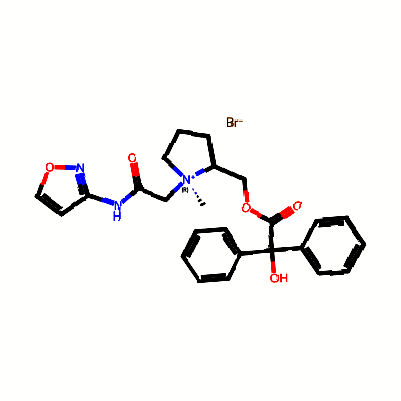 C[N@+]1(CC(=O)Nc2ccon2)CCCC1COC(=O)C(O)(c1ccccc1)c1ccccc1.[Br-]